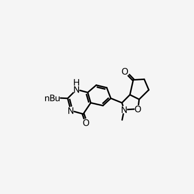 CCCCc1nc(=O)c2cc(C3C4C(=O)CCC4ON3C)ccc2[nH]1